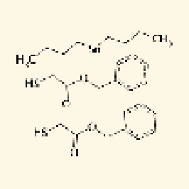 CCC[CH2][Sn][CH2]CCC.O=C(CS)OCc1ccccc1.O=C(CS)OCc1ccccc1